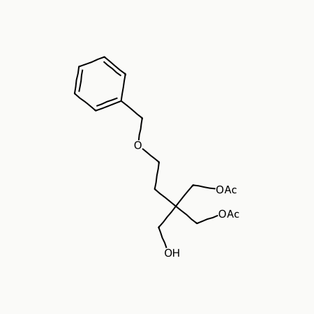 CC(=O)OCC(CO)(CCOCc1ccccc1)COC(C)=O